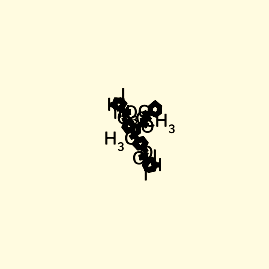 CC(CCC(=O)OC(C)(C)C1CCCCC1)(c1ccc(OC(=O)c2cc(I)cc(I)c2I)cc1)c1ccc(OC(=O)c2cc(I)cc(I)c2I)cc1